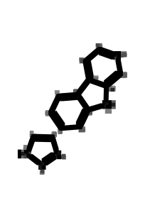 c1c[nH]nn1.c1ccc2c(c1)[nH]c1cnccc12